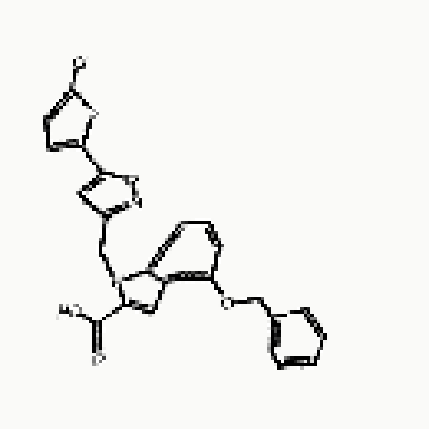 O=C(O)c1cc2c(OCc3ccccc3)cccc2n1Cc1cc(-c2ccc(Cl)s2)on1